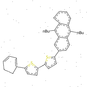 CCCCc1c2ccccc2c(CCCC)c2cc(-c3ccc(-c4ccc(C5=CC=CCC5)s4)s3)ccc12